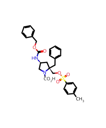 Cc1ccc(S(=O)(=O)OC[C@]2(Cc3ccccc3)C[C@H](NC(=O)OCc3ccccc3)CN2C(=O)O)cc1